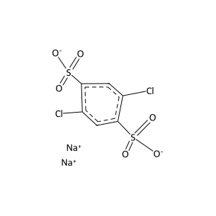 O=S(=O)([O-])c1cc(Cl)c(S(=O)(=O)[O-])cc1Cl.[Na+].[Na+]